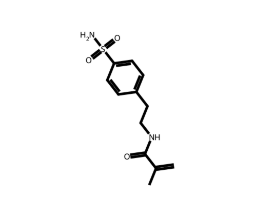 C=C(C)C(=O)NCCc1ccc(S(N)(=O)=O)cc1